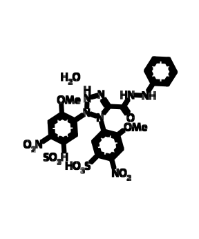 COc1cc([N+](=O)[O-])c(S(=O)(=O)O)cc1N1NN=C(C(=O)NNc2ccccc2)N1c1cc(S(=O)(=O)O)c([N+](=O)[O-])cc1OC.O